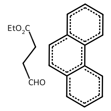 CCOC(=O)CCC=O.c1ccc2c(c1)ccc1ccccc12